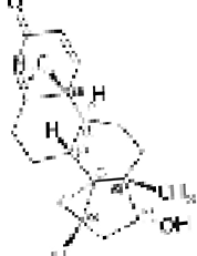 C[C@]12C=CC(=O)C=C1CC[C@@H]1[C@@H]2CC[C@]2(C)[C@H](O)C[C@@H]3C[C@]312